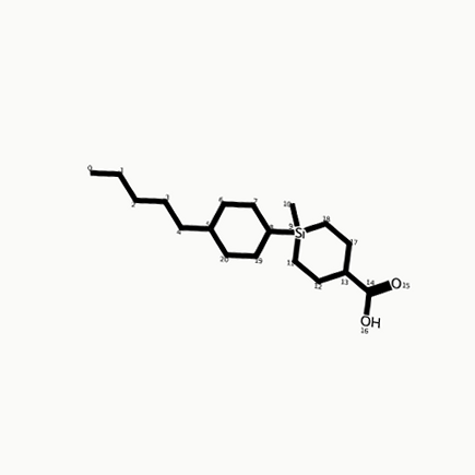 CCCCCC1CCC([Si]2(C)CCC(C(=O)O)CC2)CC1